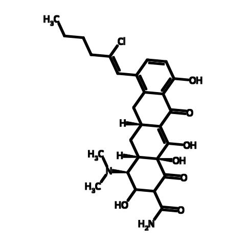 CCCC/C(Cl)=C/c1ccc(O)c2c1C[C@H]1C[C@H]3[C@H](N(C)C)C(O)C(C(N)=O)C(=O)[C@@]3(O)C(O)=C1C2=O